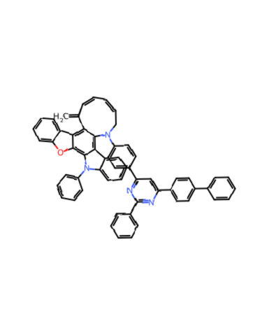 C=C1/C=C\C=C/CN(c2ccc(-c3cc(-c4ccc(-c5ccccc5)cc4)nc(-c4ccccc4)n3)cc2)c2c1c1c3ccccc3oc1c1c2c2ccccc2n1-c1ccccc1